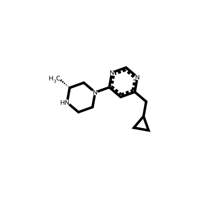 C[C@@H]1CN(c2cc(CC3CC3)ncn2)CCN1